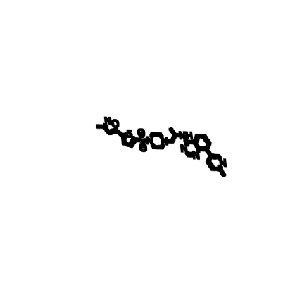 Cc1ccc(-c2cccc3c(NC(C)CN4CCN(S(=O)(=O)c5ccc(-c6cc(C)no6)s5)CC4)ncnc23)cn1